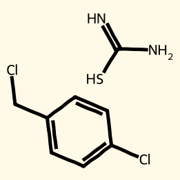 ClCc1ccc(Cl)cc1.N=C(N)S